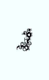 CCOC(=O)C1OCCCC1NC(=O)C=Cc1ccc(OC)c(OC)c1